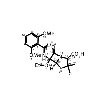 CCO[C@]1(NC(=O)c2c(OC)cccc2OC)C(=O)N2[C@@H](C(=O)O)C(C)(C)S[C@@H]21